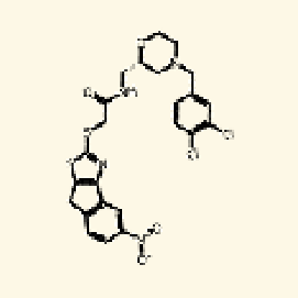 O=C(CSc1nc2c(s1)Cc1ccc([N+](=O)[O-])cc1-2)NC[C@H]1CN(Cc2ccc(Cl)c(Cl)c2)CCO1